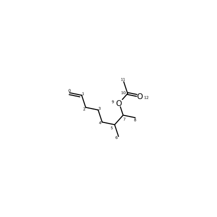 C=CCCCC(C)C(C)OC(C)=O